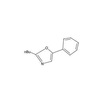 [CH2]CCCc1ncc(-c2ccccc2)o1